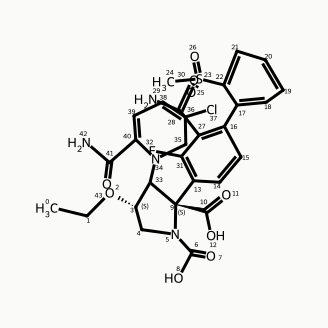 CCO[C@H]1CN(C(=O)O)[C@@](C(=O)O)(c2ccc(-c3ccccc3S(C)(=O)=O)c(C(N)=O)c2F)C1N1CC(Cl)=CC=C1C(N)=O